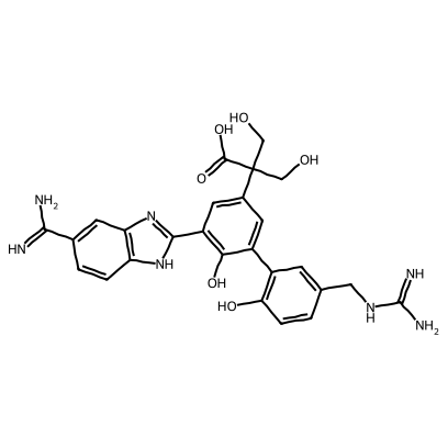 N=C(N)NCc1ccc(O)c(-c2cc(C(CO)(CO)C(=O)O)cc(-c3nc4cc(C(=N)N)ccc4[nH]3)c2O)c1